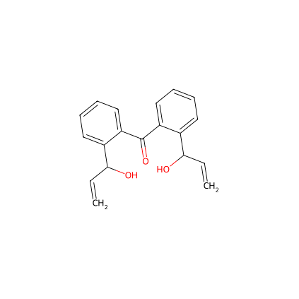 C=CC(O)c1ccccc1C(=O)c1ccccc1C(O)C=C